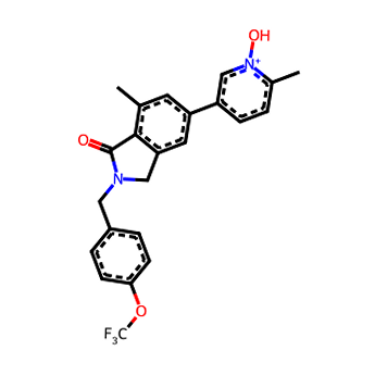 Cc1cc(-c2ccc(C)[n+](O)c2)cc2c1C(=O)N(Cc1ccc(OC(F)(F)F)cc1)C2